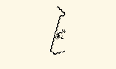 CCCCC/C=C\C/C=C\CCCCCCCCN(CCCCCCCC/C=C\C/C=C\CCCCC)C(CCN(C)C)C(=O)OCC